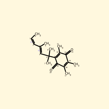 C/C=C\C(C)=C\C(C)(C)C1=C(C)C(=O)C(C)=C(C)C1=O